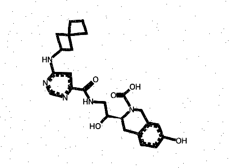 O=C(NCC(O)[C@@H]1Cc2ccc(O)cc2CN1C(=O)O)c1cc(NC2CC3(CCC3)C2)ncn1